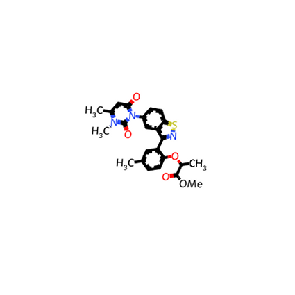 COC(=O)C(C)Oc1ccc(C)cc1-c1nsc2ccc(-n3c(=O)cc(C)n(C)c3=O)cc12